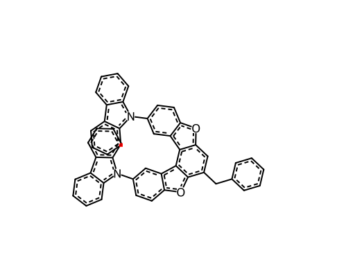 c1ccc(Cc2cc3oc4ccc(-n5c6ccccc6c6ccccc65)cc4c3c3c2oc2ccc(-n4c5ccccc5c5ccccc54)cc23)cc1